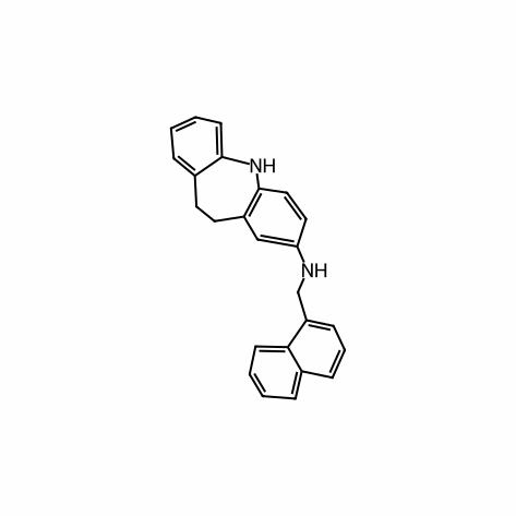 c1ccc2c(c1)CCc1cc(NCc3cccc4ccccc34)ccc1N2